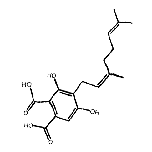 CC(C)=CCCC(C)=CCc1c(O)cc(C(=O)O)c(C(=O)O)c1O